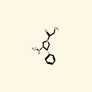 CCC(=O)N1C[C@H](NC)[C@@H](c2ccccc2)C1